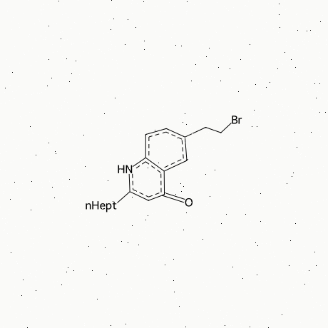 CCCCCCCc1cc(=O)c2cc(CCBr)ccc2[nH]1